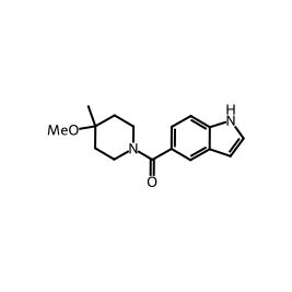 COC1(C)CCN(C(=O)c2ccc3[nH]ccc3c2)CC1